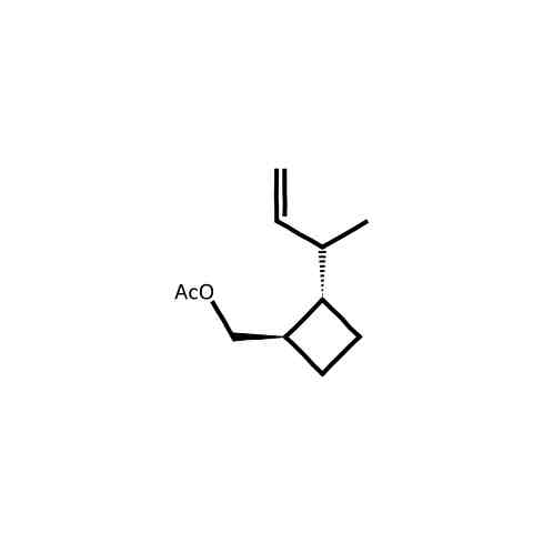 C=CC(C)[C@@H]1CC[C@H]1COC(C)=O